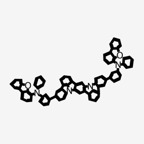 c1ccc(N(c2cccc(-c3ccc4c(c3)c3cccc5c6cc7c(cc6n4c35)c3cccc4c5cc(-c6cccc(N(c8ccccc8)c8cccc9c8oc8ccccc89)c6)ccc5n7c43)c2)c2cccc3c2oc2ccccc23)cc1